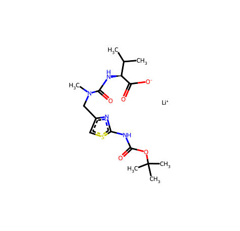 CC(C)[C@H](NC(=O)N(C)Cc1csc(NC(=O)OC(C)(C)C)n1)C(=O)[O-].[Li+]